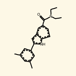 CCN(CC)C(=O)c1ccc2[nH]c(-c3cc(C)cc(C)c3)[c]c2c1